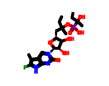 CCC(C)(C[C@H]1O[C@@H](n2cc3c(C)c(F)[nH]c3nc2=O)[C@@H](O)C1O)OP(=O)(O)C(C)(O)CC